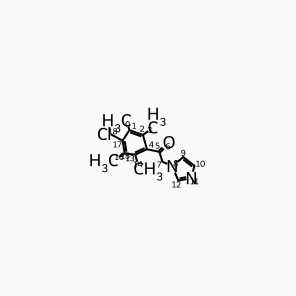 Cc1c(C)c(C(=O)Cn2ccnc2)c(C)c(C)c1Cl